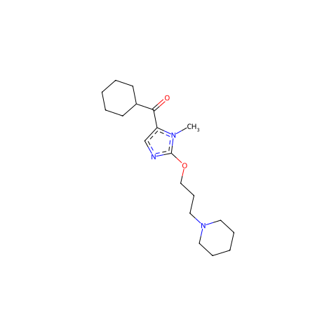 Cn1c(C(=O)C2CCCCC2)cnc1OCCCN1CCCCC1